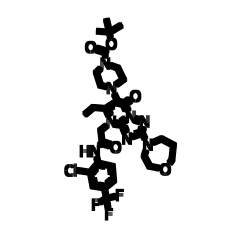 CCc1c(N2CCN(C(=O)OC(C)(C)C)CC2)c(=O)n2nc(N3CCCOCC3)nc2n1CC(=O)Nc1ccc(C(F)(F)F)cc1Cl